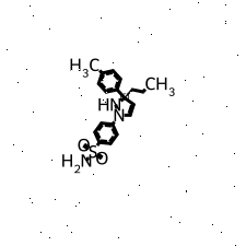 CCC[C@@]1(c2ccc(C)cc2)C=CN(c2ccc(S(N)(=O)=O)cc2)N1